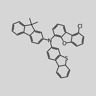 CC1(C)c2ccccc2-c2ccc(N(c3ccc4c(c3)SC3C=CC=CC43)c3cccc4c3oc3cccc(Cl)c34)cc21